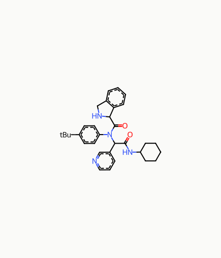 CC(C)(C)c1ccc(N(C(=O)C2NCc3ccccc32)C(C(=O)NC2CCCCC2)c2cccnc2)cc1